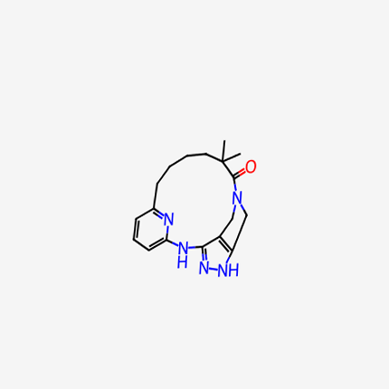 CC1(C)CCCCc2cccc(n2)Nc2n[nH]c3c2CN(C3)C1=O